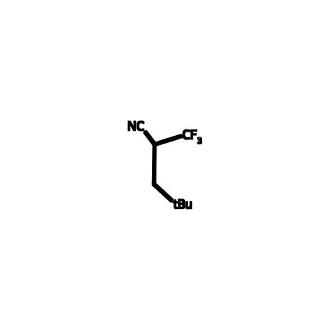 CC(C)(C)CC(C#N)C(F)(F)F